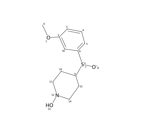 COc1cccc([S+]([O-])C2CCN(O)CC2)c1